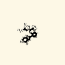 C=C(C)CNc1nc2c(-c3cc4c([nH]3)CCNC4=O)cccc2nc1C